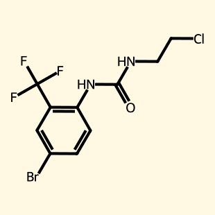 O=C(NCCCl)Nc1ccc(Br)cc1C(F)(F)F